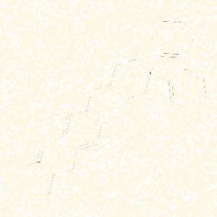 CC(Cc1ccc(OC2CCC(c3ccccc3)(c3ccccc3)CC2)cc1)C(=O)O